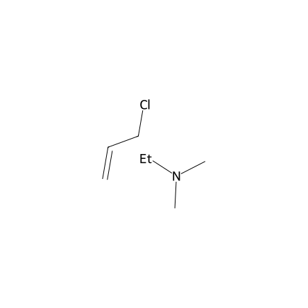 C=CCCl.CCN(C)C